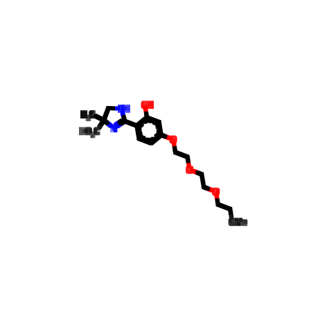 COCCOCCOCCOc1ccc(C2=NC(C)(C(=O)O)CN2)c(O)c1